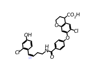 O=C(NCC/C=C\c1ccc(O)cc1Cl)c1ccc(Oc2cc3c(cc2Cl)C(C(=O)O)CCO3)cc1